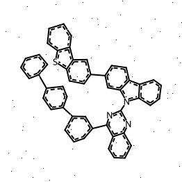 c1ccc(-c2ccc(-c3cccc(-c4nc(-n5c6ccccc6c6ccc(-c7ccc8sc9ccccc9c8c7)cc65)nc5ccccc45)c3)cc2)cc1